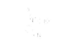 N#Cc1cccc(-n2cc(Br)cc2C=O)c1